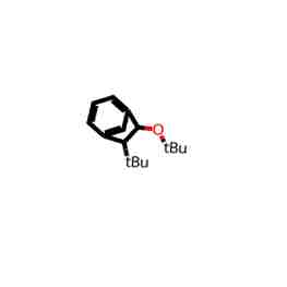 CC(C)(C)OC1c2cccc(c2)C1C(C)(C)C